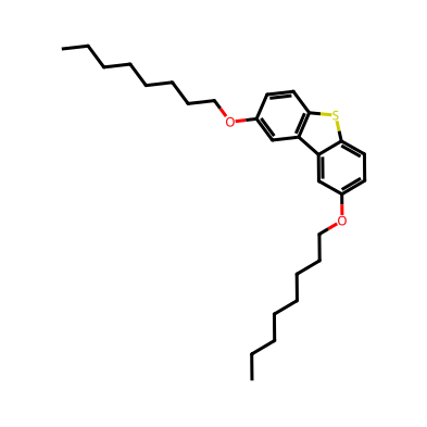 CCCCCCCCOc1ccc2sc3ccc(OCCCCCCCC)cc3c2c1